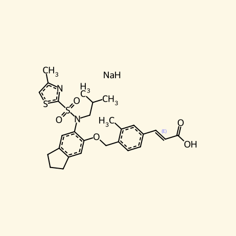 Cc1csc(S(=O)(=O)N(CC(C)C)c2cc3c(cc2OCc2ccc(/C=C/C(=O)O)cc2C)CCC3)n1.[NaH]